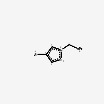 CCCCn1cc(Br)cn1